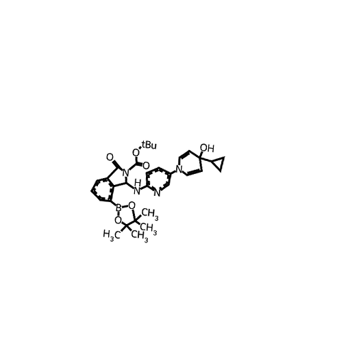 CC(C)(C)OC(=O)N1C(=O)c2cccc(B3OC(C)(C)C(C)(C)O3)c2C1Nc1ccc(N2C=CC(O)(C3CC3)C=C2)cn1